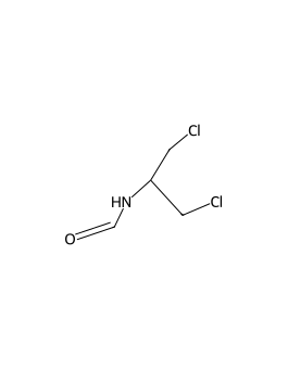 O=CNC(CCl)CCl